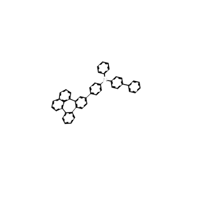 c1ccc(-c2ccc(N(c3ccccc3)c3ccc(-c4ccc5c(c4)-c4cccc6cccc(c46)-c4ccccc4-5)cc3)cc2)cc1